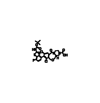 CC(C)(C)OC(=O)Nc1nc2c(-c3c(Cl)cc4c(c3Cl)COC[C@H]3CN(C(=O)O)CCN3C4=O)ccc(F)c2s1